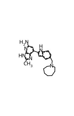 Cc1nc2c(-c3cc4cc(CN5CCCCCCC5)ccc4[nH]3)cc(N)nc2[nH]1